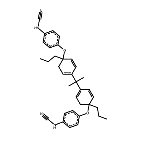 CCCC1(Oc2ccc(NC#N)cc2)C=CC(C(C)(C)C2=CCC(CCC)(Oc3ccc(NC#N)cc3)C=C2)=CC1